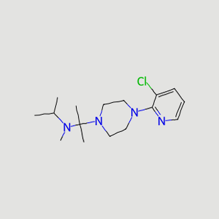 CC(C)N(C)C(C)(C)N1CCN(c2ncccc2Cl)CC1